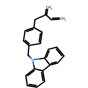 C=CC(=C)Cc1ccc(Cn2c3ccccc3c3ccccc32)cc1